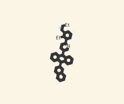 CC/C=C\c1cccc(-c2ccc(-c3c4ccccc4c(-c4ccc5ccccc5c4)c4ccccc34)cn2)c1CC